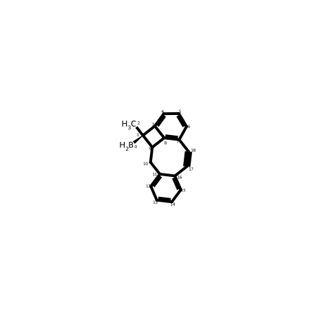 B[C@@]1(C)c2cccc3c2C1Cc1ccccc1C#C3